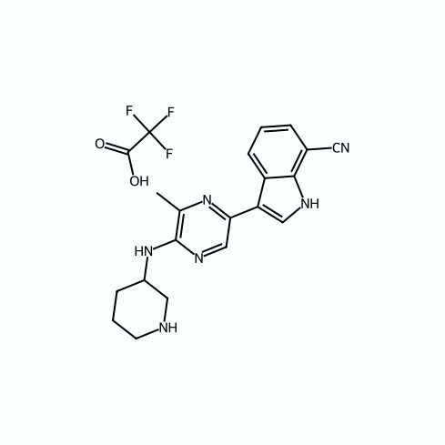 Cc1nc(-c2c[nH]c3c(C#N)cccc23)cnc1NC1CCCNC1.O=C(O)C(F)(F)F